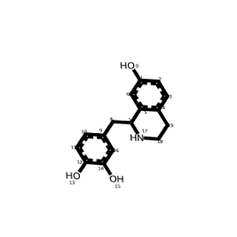 Oc1ccc2c(c1)C(Cc1ccc(O)c(O)c1)NCC2